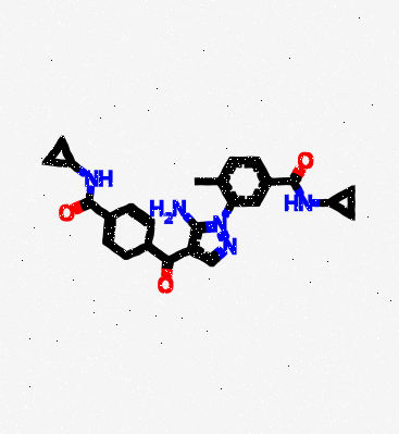 Cc1ccc(C(=O)NC2CC2)cc1-n1ncc(C(=O)C2C=CC(C(=O)NC3CC3)=CC2)c1N